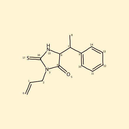 C=CCN1C(=O)C(C(C)c2ccccc2)NC1=S